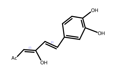 CC(=O)/C=C(O)/C=C/c1ccc(O)c(O)c1